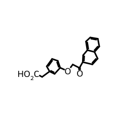 O=C(O)Cc1cccc(OCC(=O)c2ccc3ccccc3c2)c1